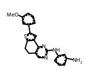 COc1cccc(-c2cc3c(s2)CCc2cnc(Nc4cccc(N)c4)nc2-3)c1